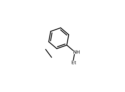 CC.CCNc1ccccc1